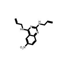 C=CCNc1nc(NCC=C)c2cc([N+](=O)[O-])ccc2n1